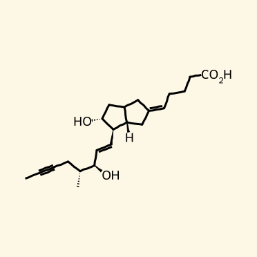 CC#CC[C@@H](C)[C@H](O)/C=C/[C@H]1[C@H](O)CC2C/C(=C\CCCC(=O)O)C[C@@H]21